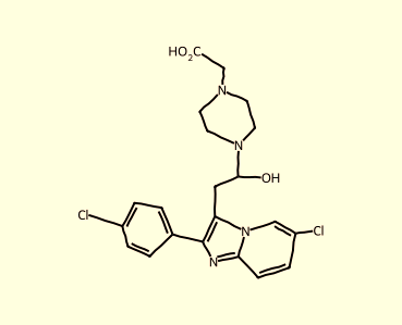 O=C(O)CN1CCN(C(O)Cc2c(-c3ccc(Cl)cc3)nc3ccc(Cl)cn23)CC1